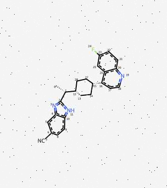 C[C@@H](c1nc2cc(C#N)ccc2[nH]1)[C@H]1CC[C@@H](c2ccnc3ccc(F)cc32)CC1